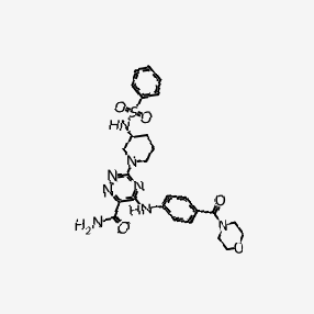 NC(=O)c1nnc(N2CCCC(NS(=O)(=O)c3ccccc3)C2)nc1Nc1ccc(C(=O)N2CCOCC2)cc1